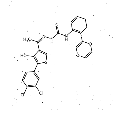 CC(=NNC(=S)NC1=C(C2=COC=CO2)CCC=C1)c1csc(-c2ccc(Cl)c(Cl)c2)c1O